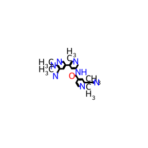 Cc1ncc(NC(=O)c2ccnc(C(C)(C)C#N)c2)cc1-c1cnc(N(C)C)c(C#N)c1